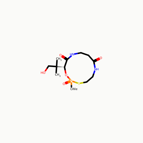 COP1(=O)O[C@H](C(C)(C)CO)C(=O)NCCC(=O)NCCS1